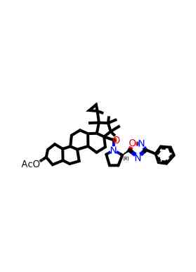 CC(=O)OC1CCC2C(CCC3C2CCC2C3CCC3(C(=O)N4CCC[C@@H]4c4nc(-c5ccccc5)no4)C2C(C)(C2(C)CC2)C(C)(C)C3(C)C)C1